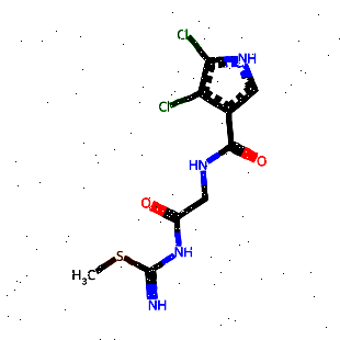 CSC(=N)NC(=O)CNC(=O)c1c[nH]c(Cl)c1Cl